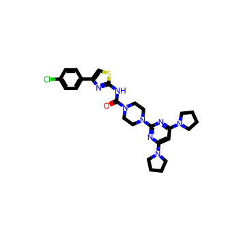 O=C(Nc1nc(-c2ccc(Cl)cc2)cs1)N1CCN(c2nc(N3CCCC3)cc(N3CCCC3)n2)CC1